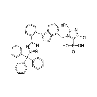 CCCc1nc(Cl)c(P(=O)(O)O)n1Cc1cccc2c1ccn2-c1ccccc1-c1nnn(C(c2ccccc2)(c2ccccc2)c2ccccc2)n1